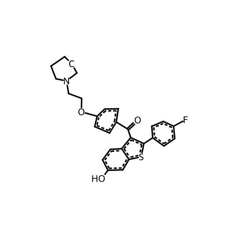 O=C(c1ccc(OCCN2CCCCC2)cc1)c1c(-c2ccc(F)cc2)sc2cc(O)ccc12